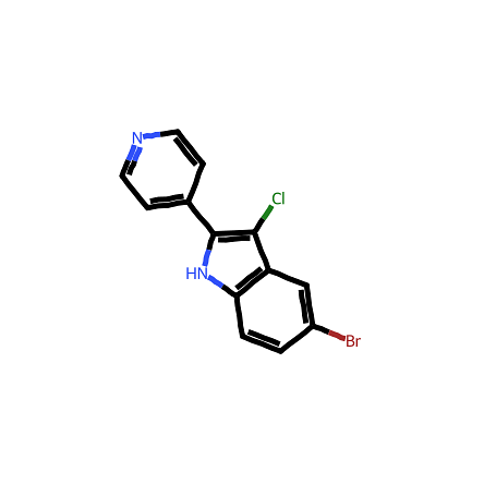 Clc1c(-c2ccncc2)[nH]c2ccc(Br)cc12